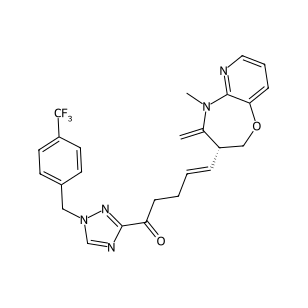 C=C1[C@@H](/C=C/CCC(=O)c2ncn(Cc3ccc(C(F)(F)F)cc3)n2)COc2cccnc2N1C